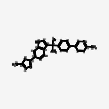 CC(C)C(C)(c1ccc(-c2ccc(N)nc2)cc1)c1c[nH]c2cc(-c3nnc(N)o3)ccc12